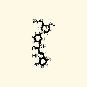 CC(=O)N1CCN(c2cccc(NC(=O)c3cc4c(F)ccc(C)c4[nH]3)c2)CC1CC(C)C